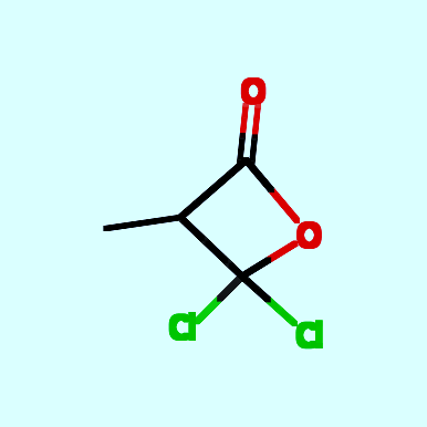 CC1C(=O)OC1(Cl)Cl